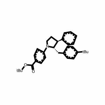 CC(C)(C)OC(=O)c1ccc(N2CC[C@@H](c3ccccc3)[C@@H]2Cc2ccc(C(C)(C)C)cc2)cc1